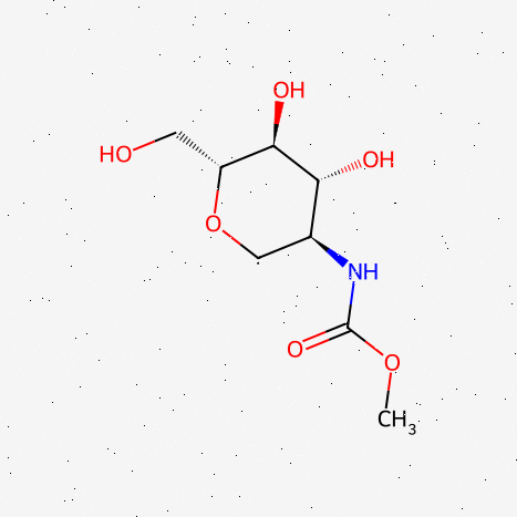 COC(=O)N[C@H]1[CH]O[C@H](CO)[C@@H](O)[C@@H]1O